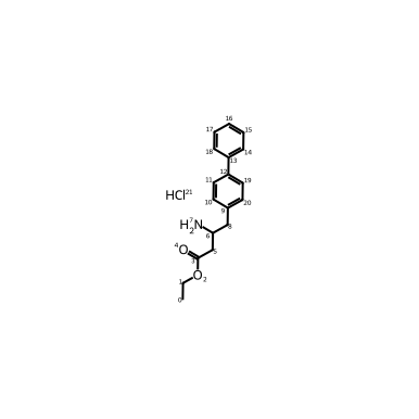 CCOC(=O)CC(N)Cc1ccc(-c2ccccc2)cc1.Cl